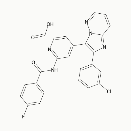 O=C(Nc1cc(-c2c(-c3cccc(Cl)c3)nc3cccnn23)ccn1)c1ccc(F)cc1.O=CO